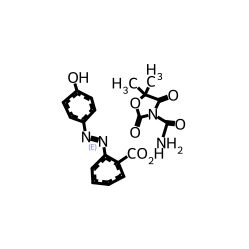 CC1(C)OC(=O)N(C(N)=O)C1=O.O=C(O)c1ccccc1/N=N/c1ccc(O)cc1